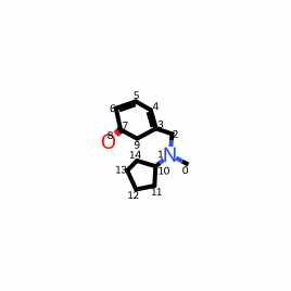 CN(CC1=CC=CC(=O)C1)C1CCCC1